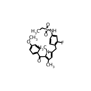 CCS(=O)(=O)Nc1ccc(Cc2cc(C)c(C(=O)c3ccc(OC)cc3)n2C)c(F)c1